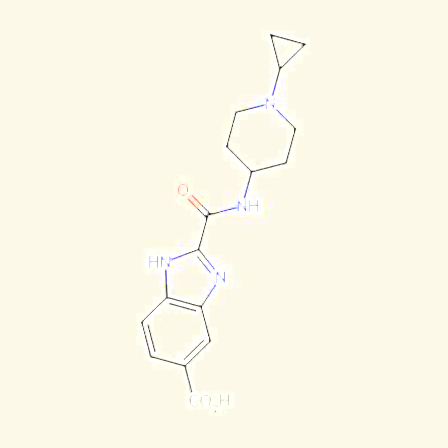 O=C(O)c1ccc2[nH]c(C(=O)NC3CCN(C4CC4)CC3)nc2c1